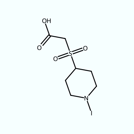 O=C(O)CS(=O)(=O)C1CCN(I)CC1